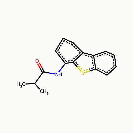 CC(C)C(=O)Nc1cccc2c1sc1ccccc12